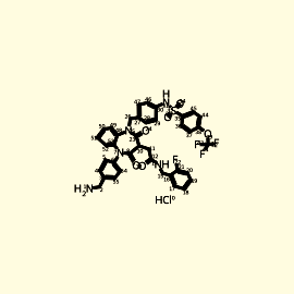 Cl.NCc1ccc(N2C(=O)C(CC(=O)NCc3ccccc3F)C(=O)N(Cc3ccc(NS(=O)(=O)c4ccc(OC(F)(F)F)cc4)cc3)c3ccccc32)cc1